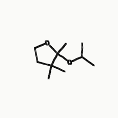 CC(C)OC1(C)OCCC1(C)C